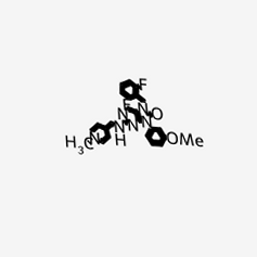 COc1cccc(-n2c(=O)n(Cc3c(F)cccc3F)c3cnc(NCC4CCN(C)CC4)nc32)c1